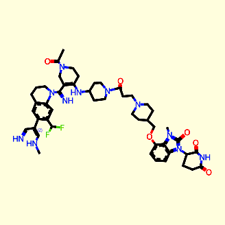 CN/C=C(\C=N)c1cc2c(cc1C(F)F)N(C(=N)C1=C(NC3CCN(C(=O)CCN4CCC(COc5cccc6c5n(C)c(=O)n6C5CCC(=O)NC5=O)CC4)CC3)CCN(C(C)=O)C1)CCC2